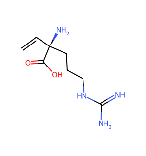 C=C[C@](N)(CCCNC(=N)N)C(=O)O